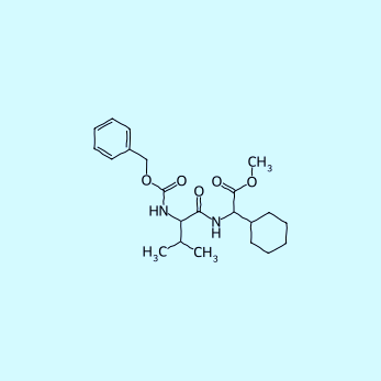 COC(=O)C(NC(=O)C(NC(=O)OCc1ccccc1)C(C)C)C1CCCCC1